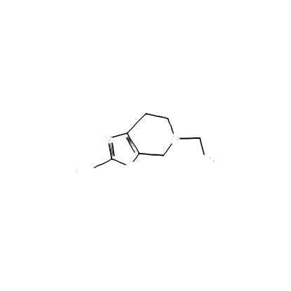 Cc1nc2c(s1)CN(CC#N)CC2